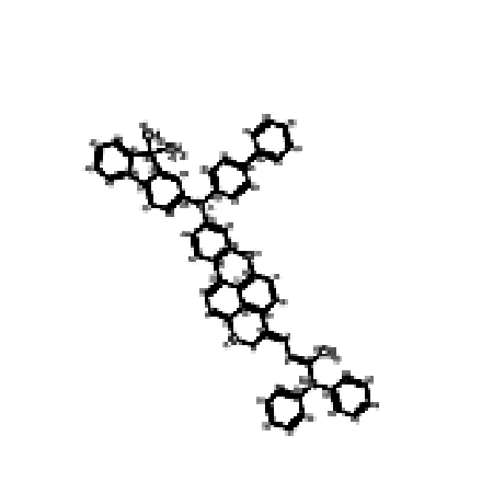 C/C(=C\C=C1/COc2ccc3c4c(ccc1c24)Oc1cc(N(c2ccc(-c4ccccc4)cc2)c2ccc4c(c2)C(C)(C)c2ccccc2-4)ccc1-3)N(c1ccccc1)c1ccccc1